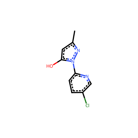 Cc1cc(O)n(-c2ccc(Cl)cn2)n1